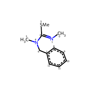 CN=C(SC)N(C)Cc1ccccc1